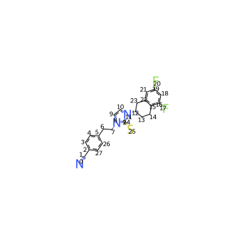 N#Cc1ccc(CCn2ccn([C@H]3CCc4c(F)cc(F)cc4C3)c2=S)cc1